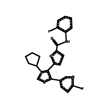 O=C(Nc1ccccc1F)c1ccc(-c2c(-c3ccc(F)nc3)ncn2C2CCCC2)o1